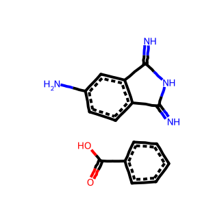 N=C1NC(=N)c2cc(N)ccc21.O=C(O)c1ccccc1